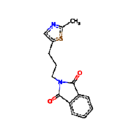 Cc1ncc(CCCN2C(=O)c3ccccc3C2=O)s1